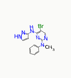 CN(c1ccccc1)c1ncc(Br)c(Nc2cc[nH]n2)n1